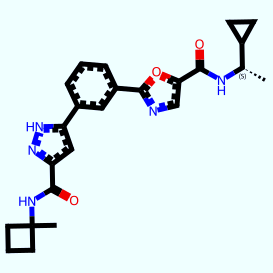 C[C@H](NC(=O)c1cnc(-c2cccc(-c3cc(C(=O)NC4(C)CCC4)n[nH]3)c2)o1)C1CC1